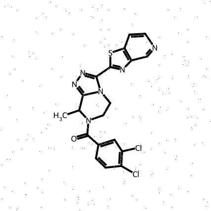 CC1c2nnc(-c3nc4cnccc4s3)n2CCN1C(=O)c1ccc(Cl)c(Cl)c1